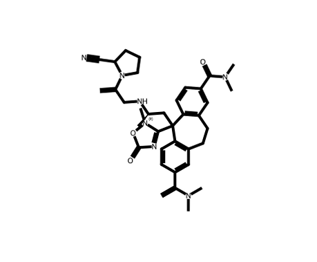 C=C(c1ccc2c(c1)CCc1cc(C(=O)N(C)C)ccc1C2(C[C@@H](C)NCC(=C)N1CCCC1C#N)c1nc(=O)on1C)N(C)C